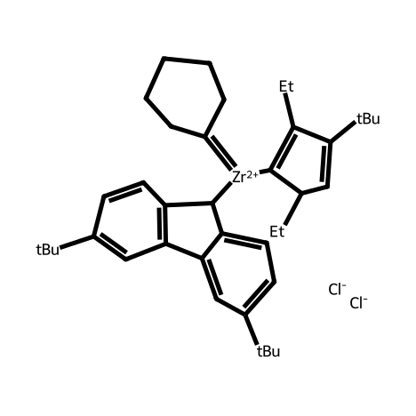 CCC1=[C]([Zr+2](=[C]2CCCCC2)[CH]2c3ccc(C(C)(C)C)cc3-c3cc(C(C)(C)C)ccc32)C(CC)C=C1C(C)(C)C.[Cl-].[Cl-]